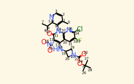 Cc1ccnc(C(C)C)c1-n1c(=O)c([N+](=O)[O-])c(NC2CN(C(=O)OC(C)(C)C)C2)c2cc(F)c(Cl)nc21